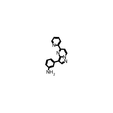 Nc1cccc(-c2cnn3ccc(-c4ccccn4)nc23)c1